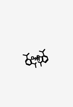 CC(C)c1cccc(C(C)C)c1OPOc1c(C(C)C)cccc1C(C)C